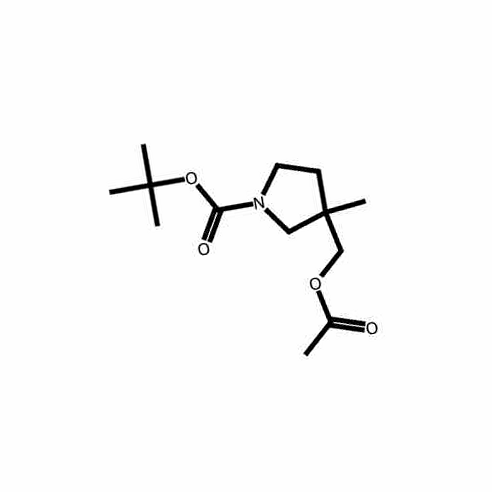 CC(=O)OCC1(C)CCN(C(=O)OC(C)(C)C)C1